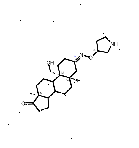 C[C@]12CCC3C(CC[C@H]4C/C(=N\O[C@H]5CCNC5)CC[C@]34CO)C1CCC2=O